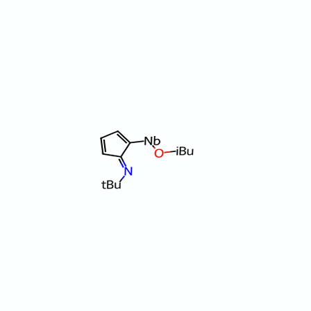 CCC(C)[O][Nb][C]1=CC=CC1=NC(C)(C)C